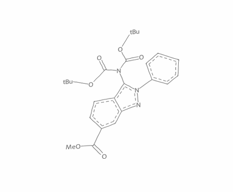 COC(=O)c1ccc2c(N(C(=O)OC(C)(C)C)C(=O)OC(C)(C)C)n(-c3ccccc3)nc2c1